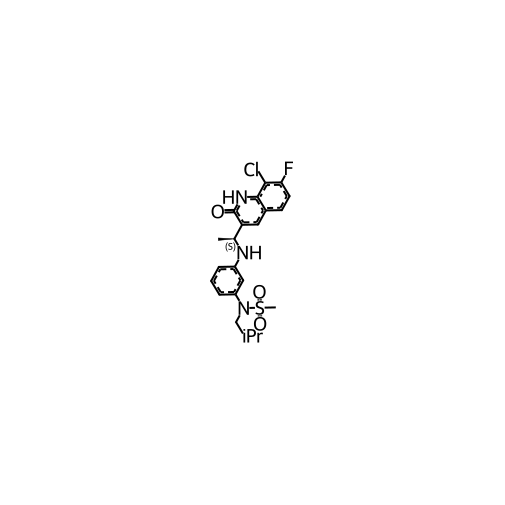 CC(C)CN(c1cccc(N[C@@H](C)c2cc3ccc(F)c(Cl)c3[nH]c2=O)c1)S(C)(=O)=O